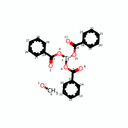 C[O-].O=C([O][Ti+]([O]C(=O)c1ccccc1)[O]C(=O)c1ccccc1)c1ccccc1